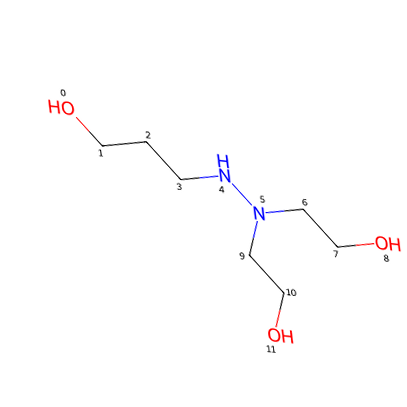 OCCCNN(CCO)CCO